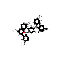 N#Cc1cc(-n2c3ccc(C(F)(F)F)cc3c3cc(C(F)(F)F)ccc32)c(-c2c(C(F)(F)F)cccc2C(F)(F)F)cc1-n1c2ccc(C(F)(F)F)cc2c2cc(C(F)(F)F)ccc21